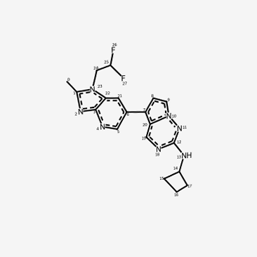 Cc1nc2ncc(-c3ccn4nc(NC5CCC5)ncc34)cc2n1CC(F)F